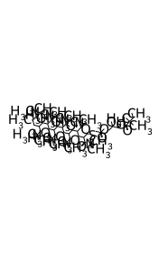 CCC(C)(C)C(=O)OCC(O)COC(=O)CSCC(CC(CC(CC(CC(CC(CC(CC(C)C(=O)N(C)C)C(=O)N(C)C)C(=O)N(C)C)C(=O)N(C)C)C(=O)N(C)C)C(=O)N(C)C)C(=O)N(C)C)C(=O)N(C)C